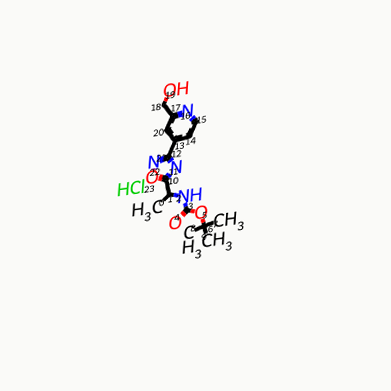 CC(NC(=O)OC(C)(C)C)c1nc(-c2ccnc(CO)c2)no1.Cl